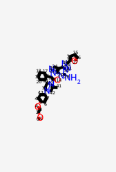 COCCOc1ccc(N2CCN(C(=O)C(c3ccccc3)n3ncc4c3nc(N)n3nc(-c5ccco5)nc43)C(C)C2)cc1